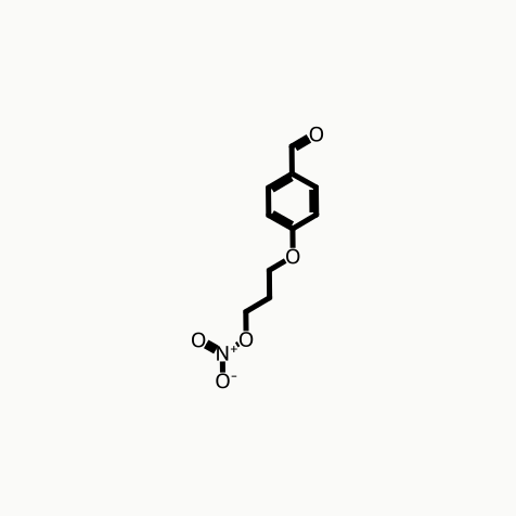 O=Cc1ccc(OCCCO[N+](=O)[O-])cc1